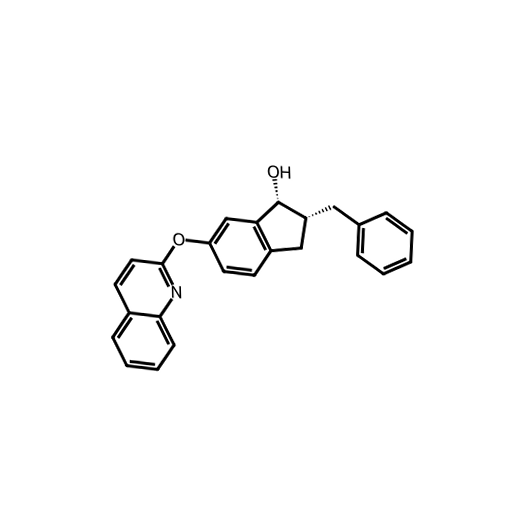 O[C@H]1c2cc(Oc3ccc4ccccc4n3)ccc2C[C@H]1Cc1ccccc1